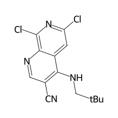 CC(C)(C)CNc1c(C#N)cnc2c(Cl)nc(Cl)cc12